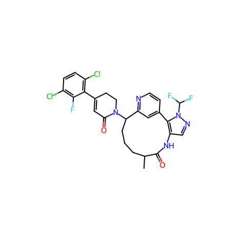 CC1CCCC(N2CCC(c3c(Cl)ccc(Cl)c3F)=CC2=O)c2cc(ccn2)-c2c(cnn2C(F)F)NC1=O